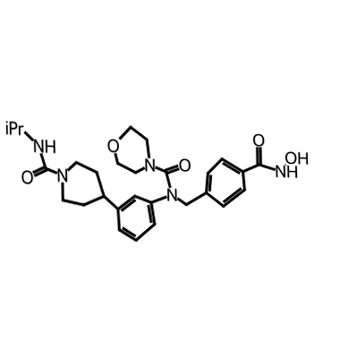 CC(C)NC(=O)N1CCC(c2cccc(N(Cc3ccc(C(=O)NO)cc3)C(=O)N3CCOCC3)c2)CC1